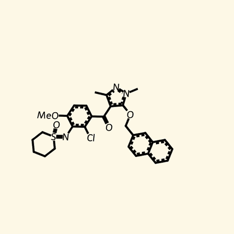 COc1ccc(C(=O)c2c(C)nn(C)c2OCc2ccc3ccccc3c2)c(Cl)c1N=S1(=O)CCCCC1